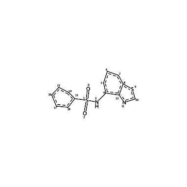 O=S(=O)(Nc1cccc2scnc12)c1ccccc1